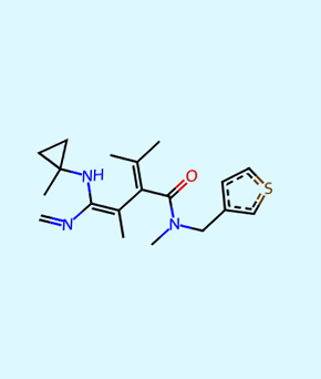 C=N/C(NC1(C)CC1)=C(\C)C(C(=O)N(C)Cc1ccsc1)=C(C)C